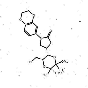 CO[C@]1(C)O[C@@H](CO)[C@H](C2CN(c3ccc4c(c3)OCCO4)C(=O)O2)O[C@@]1(C)OC